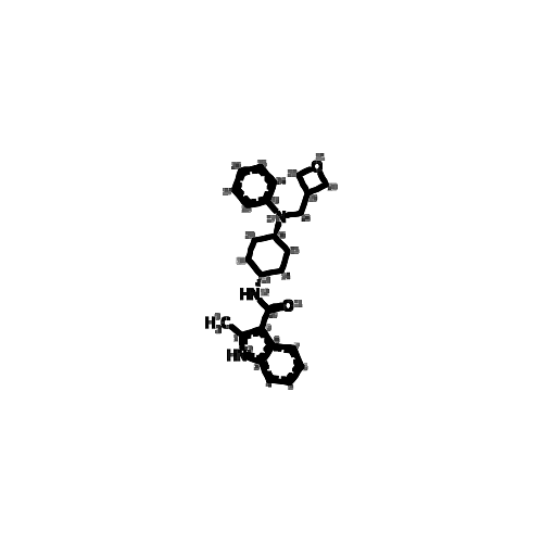 Cc1[nH]c2ccccc2c1C(=O)N[C@H]1CC[C@H](N(CC2COC2)c2ccccc2)CC1